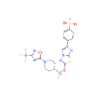 C[C@@H](Oc1nn2cc(-c3ccc(S(C)(=O)=O)cc3)nc2s1)C1CCN(c2nc(C(F)(F)F)no2)CC1